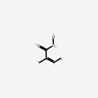 CC=C(C)C(=O)OCl